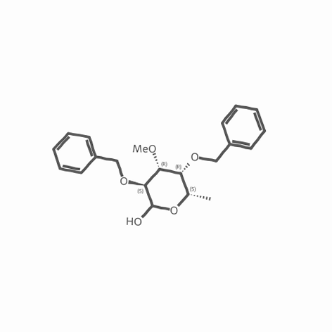 CO[C@@H]1[C@H](OCc2ccccc2)[C@H](C)OC(O)[C@H]1OCc1ccccc1